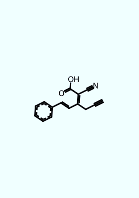 C#CCC(C=Cc1ccccc1)=C(C#N)C(=O)O